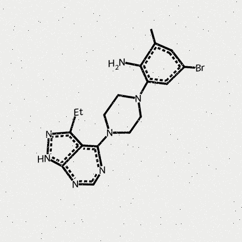 CCc1n[nH]c2ncnc(N3CCN(c4cc(Br)cc(C)c4N)CC3)c12